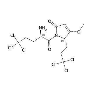 COC1=CC(=O)N(C(=O)[C@H](N)CCC(Cl)(Cl)Cl)[C@H]1CCC(Cl)(Cl)Cl